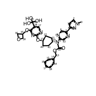 Cn1ccc(-c2cnc(N(C(=O)OCc3ccccc3)[C@H]3CC[C@H](Oc4ncc(C(O)(O)O)c(OC5COC5)n4)CC3)cn2)n1